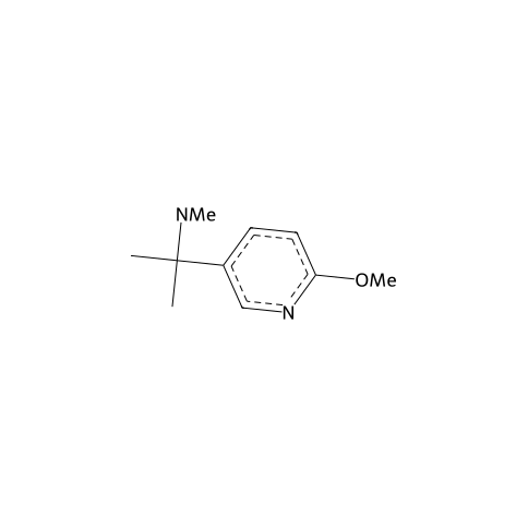 CNC(C)(C)c1ccc(OC)nc1